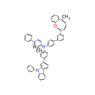 C=C(/C=C\C(=C/CC)c1ccccc1)N(c1ccc(-c2cccc(-c3cccc(C)c4ccccc4oc3)c2)cc1)c1ccc(-c2ccc3c4ccccc4n(-c4ccccc4)c3c2)cc1